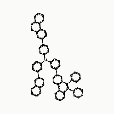 c1ccc(-c2c(-c3ccccc3)c3cc(-c4cccc(N(c5ccc(-c6ccc7c(ccc8ccccc87)c6)cc5)c5cccc(-c6ccc7ccccc7c6)c5)c4)ccc3c3ccccc23)cc1